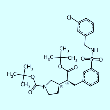 CC(C)(C)OC(=O)[C@@H](Cc1cccc(S(=O)(=O)NCc2cccc(Cl)c2)c1)[C@H]1CCN(C(=O)OC(C)(C)C)C1